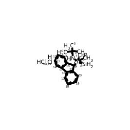 CC(C)(C)[NH][Zr]([CH3])([CH3])(=[SiH2])[CH]1c2ccccc2-c2ccccc21.Cl.Cl